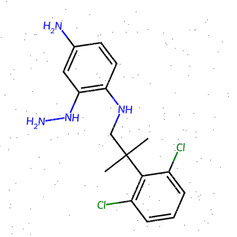 CC(C)(CNc1ccc(N)cc1NN)c1c(Cl)cccc1Cl